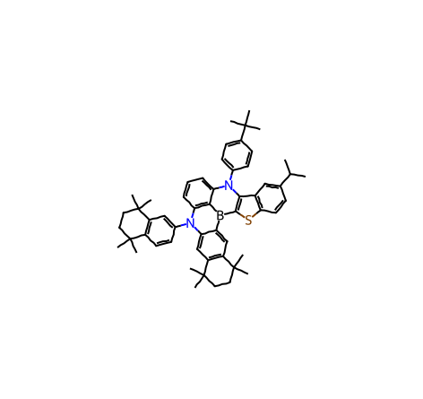 CC(C)c1ccc2sc3c(c2c1)N(c1ccc(C(C)(C)C)cc1)c1cccc2c1B3c1cc3c(cc1N2c1ccc2c(c1)C(C)(C)CCC2(C)C)C(C)(C)CCC3(C)C